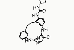 O=C(Nc1ccc2cc1CCc1cccc(c1)Nc1ncc(Cl)c(n1)N2)N[C@@H]1CCNC1